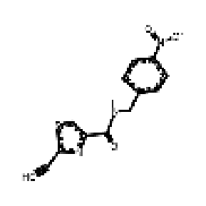 C#Cc1nc(C(=O)NCc2ccc([N+](=O)[O-])cc2)cs1